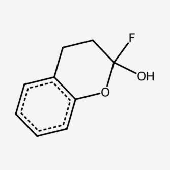 OC1(F)CCc2ccccc2O1